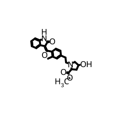 COC(=O)C1CC(O)CN1CCc1ccc2c(c1)COC2=C1C(=O)Nc2ccccc21